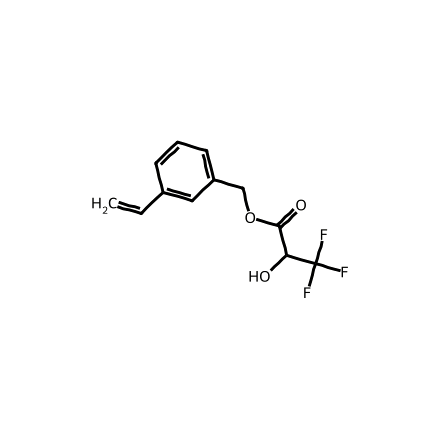 C=Cc1cccc(COC(=O)C(O)C(F)(F)F)c1